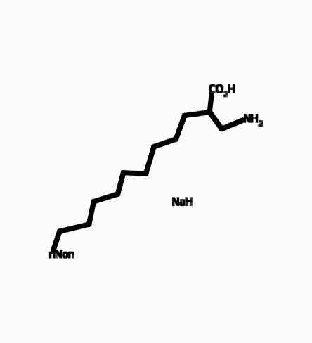 CCCCCCCCCCCCCCCCCCC(CN)C(=O)O.[NaH]